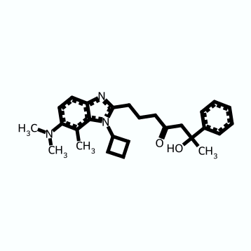 Cc1c(N(C)C)ccc2nc(CCCC(=O)CC(C)(O)c3ccccc3)n(C3CCC3)c12